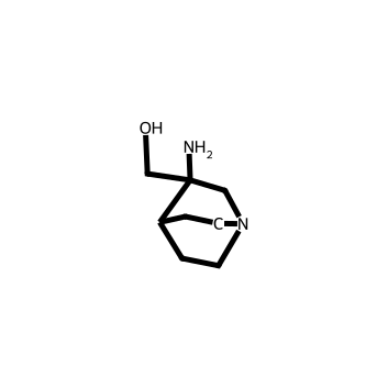 NC1(CO)CN2CCC1CC2